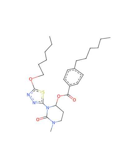 CCCCCCOc1nnc(N2C(=O)N(C)CCC2OC(=O)c2ccc(CCCCCC)cc2)s1